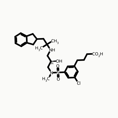 CN(C[C@H](O)CNC(C)(C)CC1Cc2ccccc2C1)S(=O)(=O)c1cc(Cl)cc(CCCC(=O)O)c1